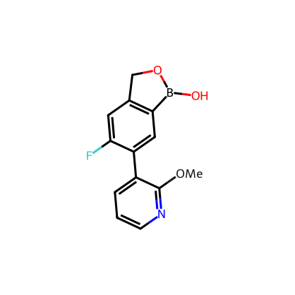 COc1ncccc1-c1cc2c(cc1F)COB2O